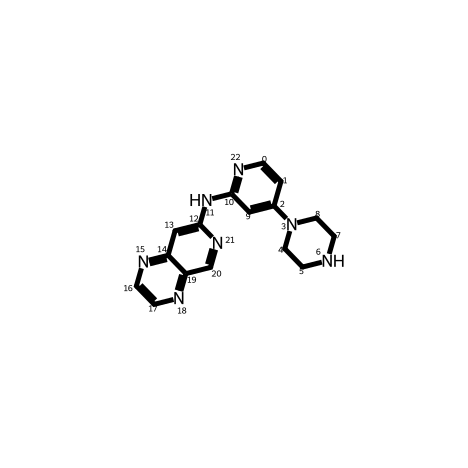 c1cc(N2CCNCC2)cc(Nc2cc3nccnc3cn2)n1